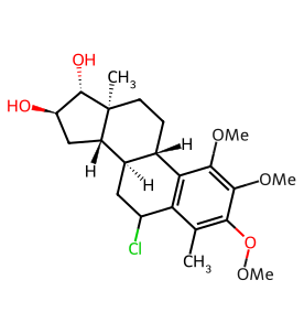 COOc1c(C)c2c(c(OC)c1OC)[C@H]1CC[C@]3(C)[C@@H](O)[C@H](O)C[C@H]3[C@@H]1CC2Cl